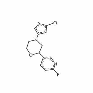 Fc1ccc(C2CN(c3csc(Cl)c3)CCO2)cn1